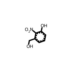 O=[N+]([O-])c1c(O)cccc1CO